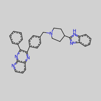 c1ccc(-c2nc3ncccc3nc2-c2ccc(CN3CCC(c4nc5ccccc5[nH]4)CC3)cc2)cc1